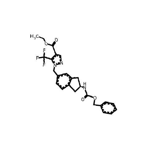 CCOC(=O)c1cnn(Cc2ccc3c(c2)C[C@@H](NC(=O)OCc2ccccc2)C3)c1C(F)(F)F